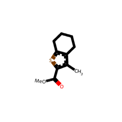 COC(=O)c1sc2c(c1C)CCCC2